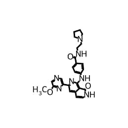 COc1cncc(-c2cc3cc[nH]c(=O)c3c(Nc3ccc(C(=O)NCCN4CCCC4)cc3)n2)n1